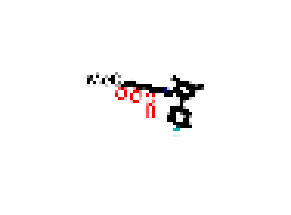 COC(=O)CC(=O)CC(O)/C=C/c1c(C)cc(C)cc1-c1ccc(F)c(C)c1